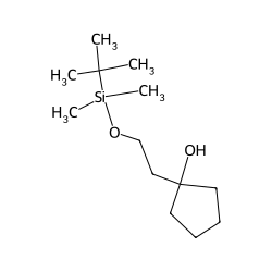 CC(C)(C)[Si](C)(C)OCCC1(O)CCCC1